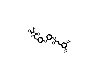 COc1cc(C=CC(=O)Oc2cccc(Oc3ccc(CC4SC(=O)NC4=O)cc3)c2)cc(OC)c1